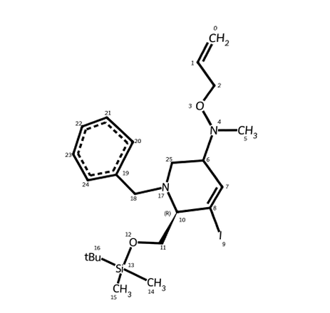 C=CCON(C)C1C=C(I)[C@@H](CO[Si](C)(C)C(C)(C)C)N(Cc2ccccc2)C1